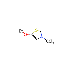 CCOC1=CN(C(Cl)(Cl)Cl)CS1